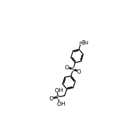 CCCCc1ccc(S(=O)(=O)c2ccc(CP(=O)(O)O)cc2)cc1